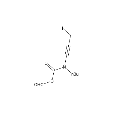 CCCCN(C#CCI)C(=O)OC=O